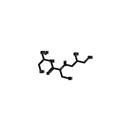 O=C(O)C(CO)NC(=O)C(CS)NCC(O)CO